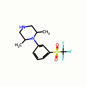 CC1CNCC(C)N1c1cccc(S(=O)(=O)C(F)(F)F)c1